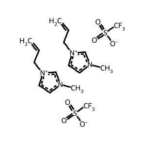 C=CC[n+]1ccn(C)c1.C=CC[n+]1ccn(C)c1.O=S(=O)([O-])C(F)(F)F.O=S(=O)([O-])C(F)(F)F